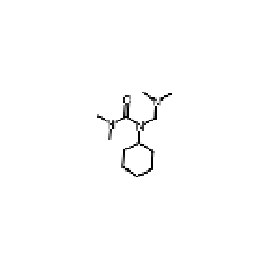 CN(C)CN(C(=O)N(C)C)C1CCCCC1